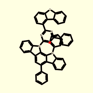 c1ccc(-c2nc(-c3cccc4sc5ccccc5c34)nc(-n3c4ccccc4c4cc(-c5ccccc5)c5c6ccccc6n(-c6ccccc6)c5c43)n2)cc1